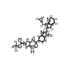 CN(C(=O)c1ccc2c(c1)nc(-c1cc3cccnc3n1CC1CC1)n2C)[C@H]1CN(C(=O)OC(C)(C)C)C[C@H]1O